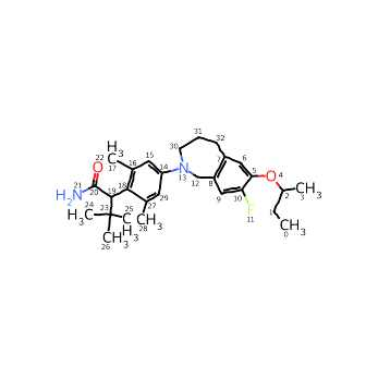 CCC(C)Oc1cc2c(cc1F)CN(c1cc(C)c(C(C(N)=O)C(C)(C)C)c(C)c1)CCC2